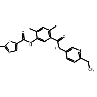 Cc1ncc(C(=O)Nc2cc(C(=O)Nc3ccc(CC(F)(F)F)nc3)c(F)cc2C)s1